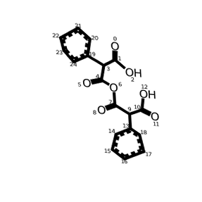 O=C(O)C(C(=O)OC(=O)C(C(=O)O)c1ccccc1)c1ccccc1